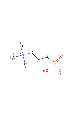 CC[N+](C)(CC)CCCS(=O)(=O)[O-]